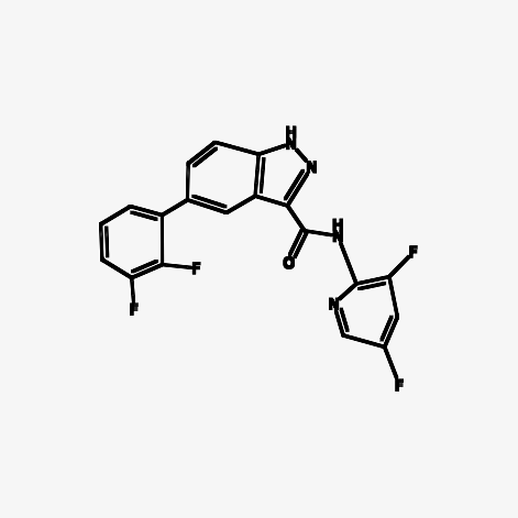 O=C(Nc1ncc(F)cc1F)c1n[nH]c2ccc(-c3cccc(F)c3F)cc12